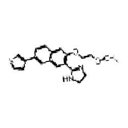 COCCOc1cc2ccc(-c3ccsc3)cc2cc1C1=NCCN1